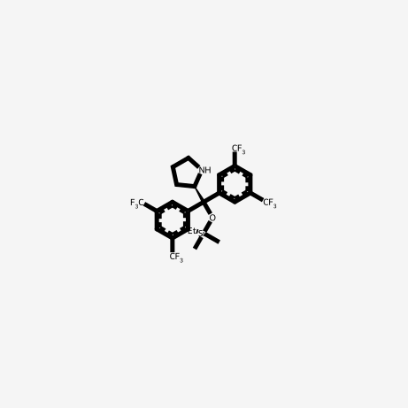 CC[Si](C)(C)OC(c1cc(C(F)(F)F)cc(C(F)(F)F)c1)(c1cc(C(F)(F)F)cc(C(F)(F)F)c1)[C@H]1CCCN1